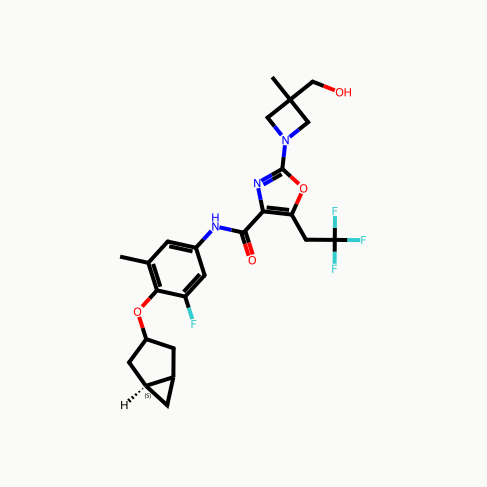 Cc1cc(NC(=O)c2nc(N3CC(C)(CO)C3)oc2CC(F)(F)F)cc(F)c1OC1CC2C[C@H]2C1